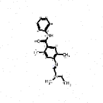 CCN(C)/C=N/c1cc(C)c(C(=O)Nc2ccccc2)cc1C